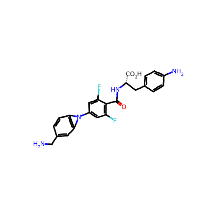 NCc1ccc2c(c1)N2c1cc(F)c(C(=O)N[C@@H](Cc2ccc(N)cc2)C(=O)O)c(F)c1